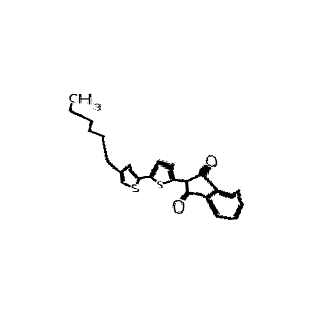 CCCCCCc1csc(-c2ccc(C3C(=O)c4ccccc4C3=O)s2)c1